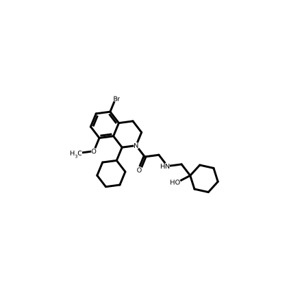 COc1ccc(Br)c2c1C(C1CCCCC1)N(C(=O)CNCC1(O)CCCCC1)CC2